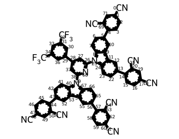 N#Cc1ccc(-c2ccc3c(c2)c2cc(-c4ccc(C#N)cc4C#N)ccc2n3-c2cc(-c3cc(C(F)(F)F)cc(C(F)(F)F)c3)cc(-n3c4ccc(-c5ccc(C#N)cc5C#N)cc4c4cc(-c5ccc(C#N)cc5C#N)ccc43)n2)c(C#N)c1